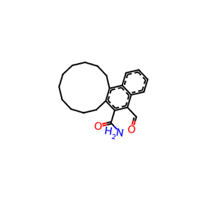 NC(=O)c1c2c(c3ccccc3c1C=O)CCCCCCCCCC2